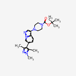 Cc1nn(C)c(C)c1-c1ccc2c(N3CCN(C(=O)OC(C)(C)C)CC3)cnn2c1